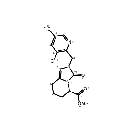 COC(=O)[C@H]1CCCc2nn(Cc3ncc(C(F)(F)F)cc3Cl)c(=O)n21